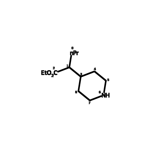 CCCC(C(=O)OCC)C1CCNCC1